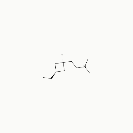 CC[C@H]1C[C@@](C)(CCN(C)C)C1